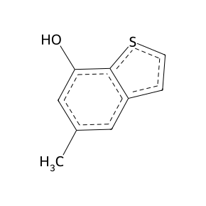 Cc1cc(O)c2sccc2c1